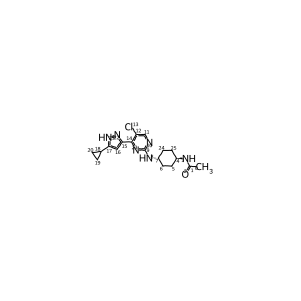 CC(=O)N[C@H]1CC[C@H](Nc2ncc(Cl)c(-c3cc(C4CC4)[nH]n3)n2)CC1